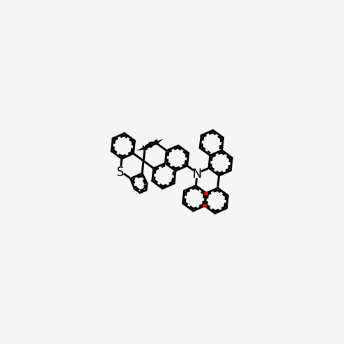 c1ccc(-c2ccc3ccccc3c2N(c2ccccc2)c2ccc3c4c(cccc24)C2(c4ccccc4Sc4ccccc42)c2ccccc2-3)cc1